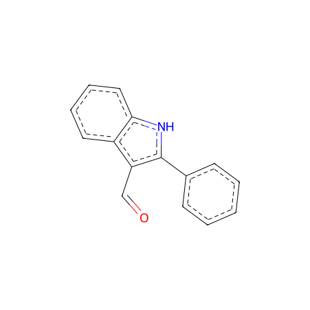 O=Cc1c(-c2ccccc2)[nH]c2ccccc12